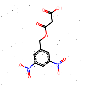 O=C(O)CC(=O)OCc1cc([N+](=O)[O-])cc([N+](=O)[O-])c1